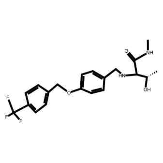 CNC(=O)C(NCc1ccc(OCc2ccc(C(F)(F)F)cc2)cc1)[C@H](C)O